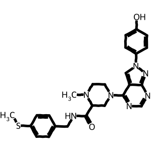 CSc1ccc(CNC(=O)C2CN(c3ncnc4nn(-c5ccc(O)cc5)cc34)CCN2C)cc1